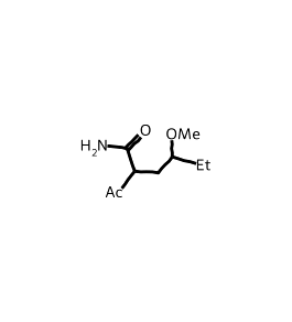 CCC(CC(C(C)=O)C(N)=O)OC